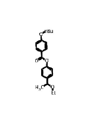 CCCCOc1ccc(C(=O)Oc2ccc(C(C)OCC)cc2)cc1